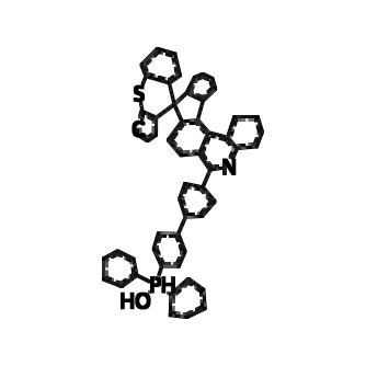 O[PH](c1ccccc1)(c1ccccc1)c1ccc(-c2ccc(-c3nc4ccccc4c4c5c(ccc34)C3(c4ccccc4Sc4ccccc43)c3ccccc3-5)cc2)cc1